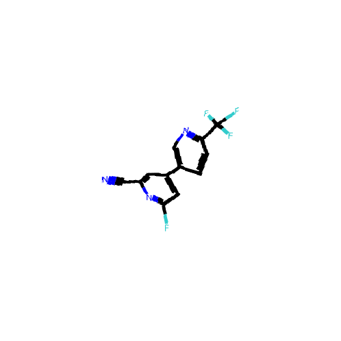 N#Cc1cc(-c2ccc(C(F)(F)F)nc2)cc(F)n1